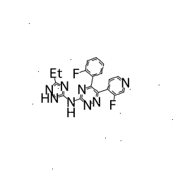 CCc1n[nH]c(Nc2nnc(-c3ccncc3F)c(-c3ccccc3F)n2)n1